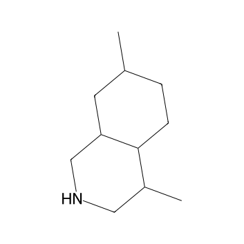 CC1CCC2C(C)CNCC2C1